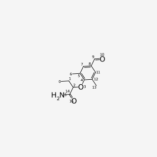 CCC(Oc1c(C)cc(C=O)cc1C)C(N)=O